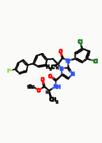 C[C@H](NC(=O)c1cnc2n1[C@](C)(Cc1ccc(-c3ccc(F)cc3)cc1)C(=O)N2c1cc(Cl)cc(Cl)c1)C(=O)OC(C)(C)C